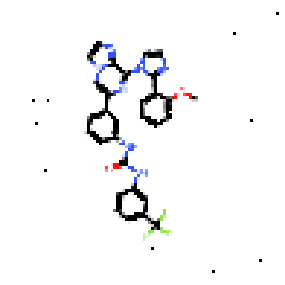 COc1ccccc1-c1nccn1-c1nc(-c2cccc(NC(=O)Nc3cccc(C(F)(F)F)c3)c2)cn2ccnc12